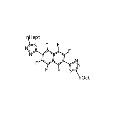 CCCCCCCCc1nnc(-c2c(F)c(F)c3c(F)c(-c4nnc(CCCCCCC)s4)c(F)c(F)c3c2F)s1